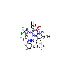 Cc1cc(C(C)Nc2ccccc2C(=O)O)c2nc(N3CC(F)(F)[C@H]3C)c(C)c(=O)n2c1